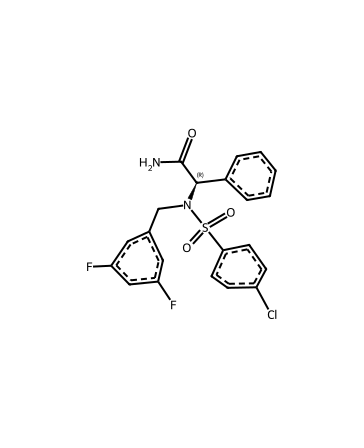 NC(=O)[C@@H](c1ccccc1)N(Cc1cc(F)cc(F)c1)S(=O)(=O)c1ccc(Cl)cc1